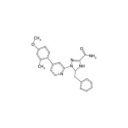 COc1ccc(-c2ccnc(N3N=C(C(N)=O)NC3Cc3ccccc3)c2)c(C)c1